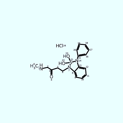 CNCC(=O)CCN1c2ccccc2N(c2ccccc2)S1(O)O.Cl